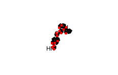 CC1(C)c2ccccc2-c2nc3ccc4ccccc4c3c(-c3ccc(-c4cccc(-c5ccc6ccc7c(C8=CNCC=C8)ccc8ccc5c6c87)c4)cc3)c21